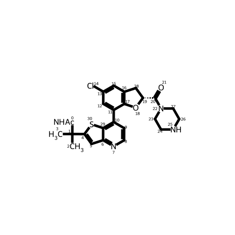 CC(=O)NC(C)(C)c1cc2nccc(-c3cc(Cl)cc4c3O[C@@H](C(=O)N3CCNCC3)C4)c2s1